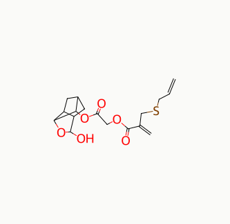 C=CCSCC(=C)C(=O)OCC(=O)OC1C2CC3C(O)OC1C3C2